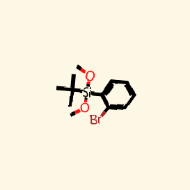 CO[Si](OC)(c1ccccc1Br)C(C)(C)C